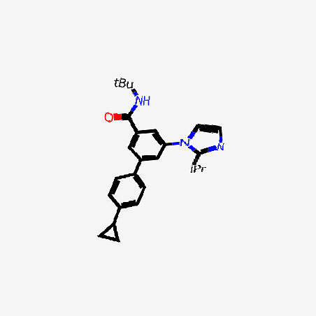 CC(C)c1nccn1-c1cc(C(=O)NC(C)(C)C)cc(-c2ccc(C3CC3)cc2)c1